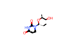 CC[C@@H](O[C@@H](C)CO)n1ccc(=O)[nH]c1=O